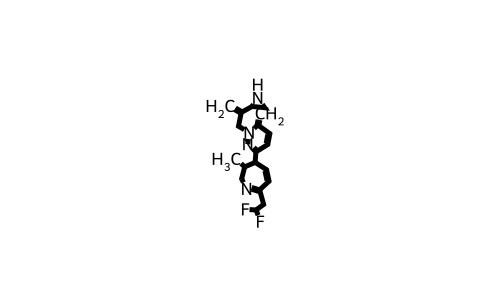 C=C(CN1N=C(C2C=CC(CC(F)F)=NCC2C)C=CC1=C)C1CN1